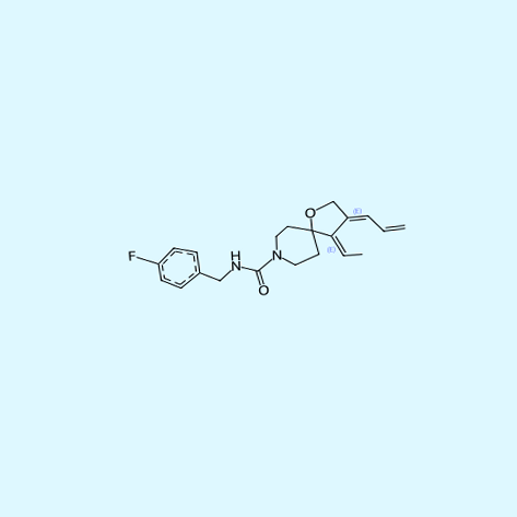 C=C/C=C1/COC2(CCN(C(=O)NCc3ccc(F)cc3)CC2)/C1=C/C